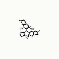 COc1ccccc1C(c1c(O)c2cc(C)ccc2oc1=O)c1c(O)c2cc(C)ccc2oc1=O